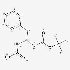 CC(C)(C)OC(=O)NC(Cc1ccccc1)NC(N)=S